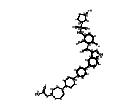 O=C(O)CN1CCCN(C2CCN(c3ccc(-c4cnc5[nH]cc(C(=O)c6c(F)ccc(NS(=O)(=O)N7CC[C@@H](F)C7)c6F)c5c4)cc3)CC2)CC1